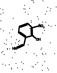 N=Cc1cccc([N+](=O)[O-])c1O